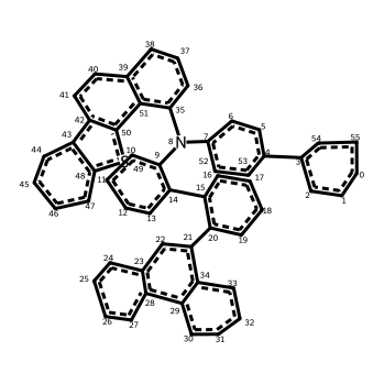 c1ccc(-c2ccc(N(c3ccccc3-c3ccccc3-c3cc4ccccc4c4ccccc34)c3cccc4ccc5c6ccccc6sc5c34)cc2)cc1